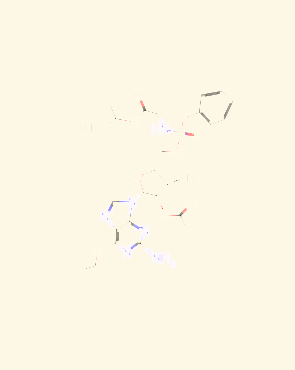 CCOc1nc(N)nc2c1ncn2[C@@H]1O[C@H](COP(=O)(N[C@@H](C)C(=O)OC(C)C)Oc2ccccc2)[C@@H](C)[C@H]1OC(C)=O